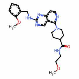 COCCNC(=O)C1CCN(c2nccc3nc(NCc4ccccc4OC)ncc23)CC1